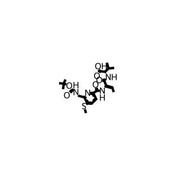 C/C=C(\NC(=O)c1ccc(SC)c(CNC(=O)OC(C)(C)C)n1)C(=O)N[C@H](C(=O)O)C(C)C